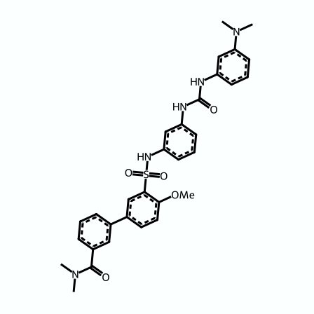 COc1ccc(-c2cccc(C(=O)N(C)C)c2)cc1S(=O)(=O)Nc1cccc(NC(=O)Nc2cccc(N(C)C)c2)c1